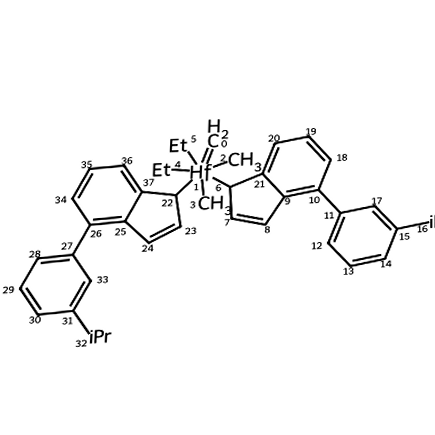 [CH2]=[Hf]([CH3])([CH3])([CH2]C)([CH2]C)([CH]1C=Cc2c(-c3cccc(C(C)C)c3)cccc21)[CH]1C=Cc2c(-c3cccc(C(C)C)c3)cccc21